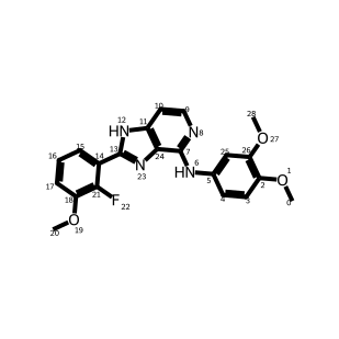 COc1ccc(Nc2nccc3[nH]c(-c4cccc(OC)c4F)nc23)cc1OC